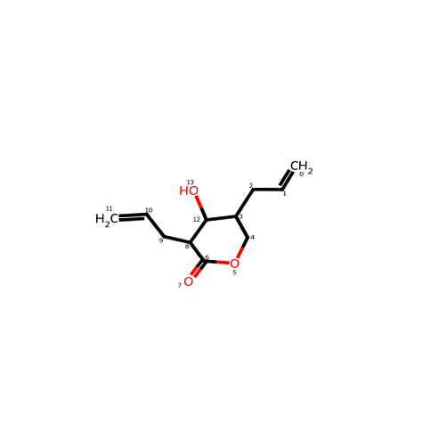 C=CCC1COC(=O)C(CC=C)C1O